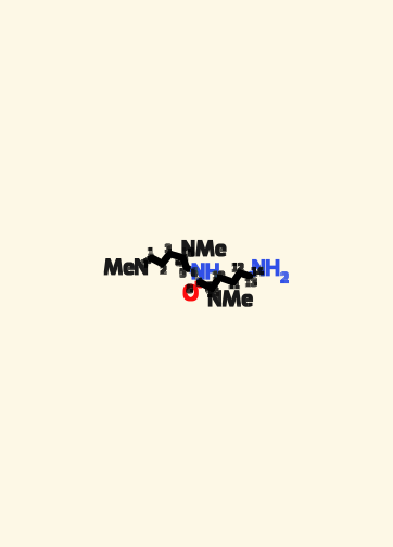 CNCCC[C@@H](CNC(=O)[C@H](CCCCN)NC)NC